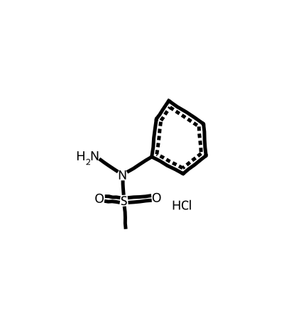 CS(=O)(=O)N(N)c1ccccc1.Cl